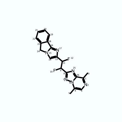 Cc1ncc(C)n2nc(C(F)C(F)c3cn4c(n3)-c3ccccc3C4)nc12